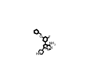 Nc1ncnn2c(C3CCNCC3)cc(-c3cc(F)cc(OCc4ccccc4)c3)c12